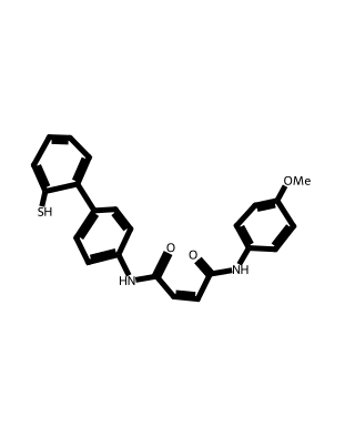 COc1ccc(NC(=O)/C=C\C(=O)Nc2ccc(-c3ccccc3S)cc2)cc1